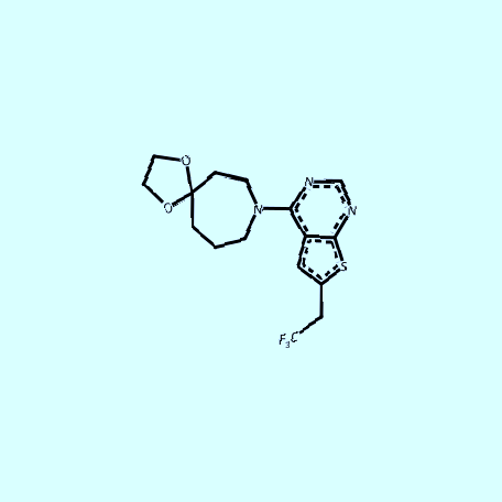 FC(F)(F)Cc1cc2c(N3CCCC4(CC3)OCCO4)ncnc2s1